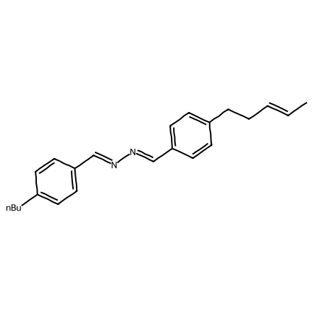 CC=CCCc1ccc(C=NN=Cc2ccc(CCCC)cc2)cc1